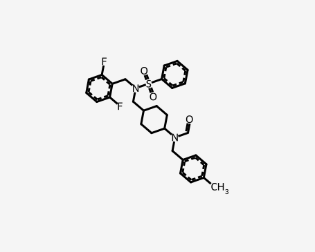 Cc1ccc(CN(C=O)C2CCC(CN(Cc3c(F)cccc3F)S(=O)(=O)c3ccccc3)CC2)cc1